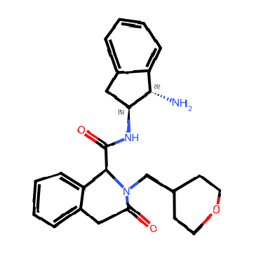 N[C@H]1c2ccccc2C[C@@H]1NC(=O)C1c2ccccc2CC(=O)N1CC1CCOCC1